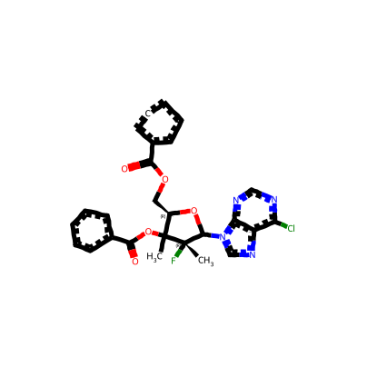 CC1(OC(=O)c2ccccc2)[C@@H](COC(=O)c2ccccc2)OC(n2cnc3c(Cl)ncnc32)[C@]1(C)F